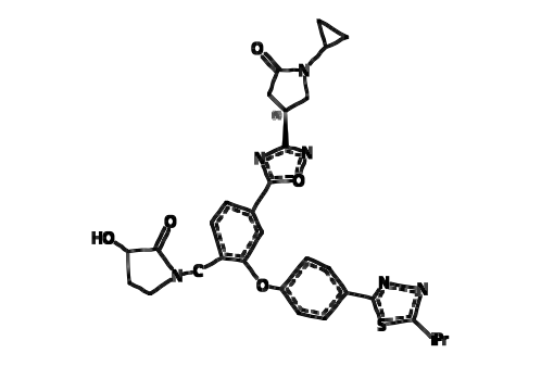 CC(C)c1nnc(-c2ccc(Oc3cc(-c4nc([C@H]5CC(=O)N(C6CC6)C5)no4)ccc3CN3CCC(O)C3=O)cc2)s1